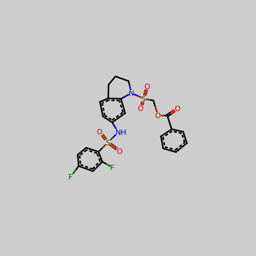 O=C(OCS(=O)(=O)N1CCCc2ccc(NS(=O)(=O)c3ccc(F)cc3F)cc21)c1ccccc1